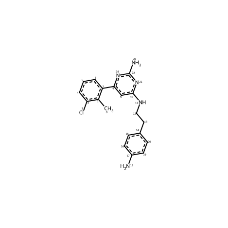 Cc1c(Cl)cccc1-c1cc(NCCc2ccc(N)cc2)nc(N)n1